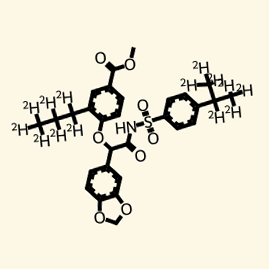 [2H]C([2H])([2H])C([2H])([2H])C([2H])([2H])c1cc(C(=O)OC)ccc1OC(C(=O)NS(=O)(=O)c1ccc(C([2H])(C([2H])([2H])[2H])C([2H])([2H])[2H])cc1)c1ccc2c(c1)OCO2